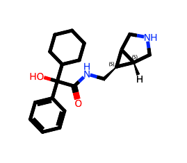 O=C(NC[C@H]1C2CNC[C@@H]21)C(O)(c1ccccc1)C1CCCCC1